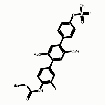 COc1cc(-c2ccc(NC(=O)OC(C)(C)C)c(F)c2)c(OC)cc1-c1ccc(OS(C)(=O)=O)cc1